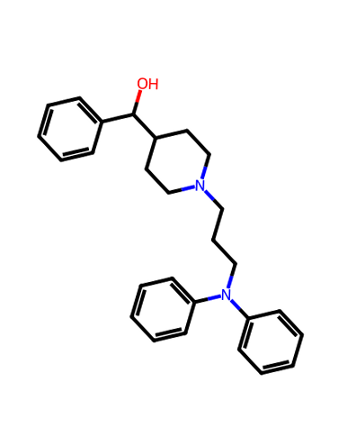 OC(c1ccccc1)C1CCN(CCCN(c2ccccc2)c2ccccc2)CC1